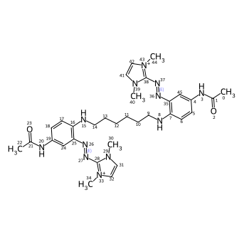 CC(=O)Nc1ccc(NCCCCCCNc2ccc(NC(C)=O)cc2/N=N/c2n(C)cc[n+]2C)c(/N=N/c2n(C)cc[n+]2C)c1